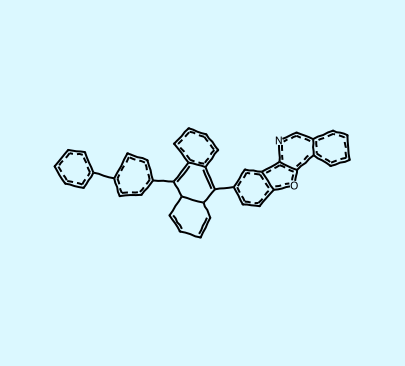 C1=CC2C(c3ccc(-c4ccccc4)cc3)=c3ccccc3=C(c3ccc4oc5c6ccccc6cnc5c4c3)C2C=C1